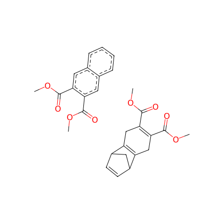 COC(=O)C1=C(C(=O)OC)CC2=C(C1)C1C=CC2C1.COC(=O)c1cc2ccccc2cc1C(=O)OC